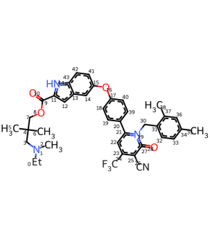 CCN(C)CC(C)(C)COC(=O)c1cc2cc(Oc3ccc(-c4cc(C(F)(F)F)c(C#N)c(=O)n4Cc4ccc(C)cc4C)cc3)ccc2[nH]1